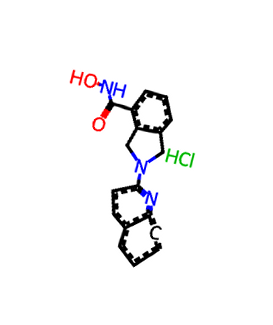 Cl.O=C(NO)c1cccc2c1CN(c1ccc3ccccc3n1)C2